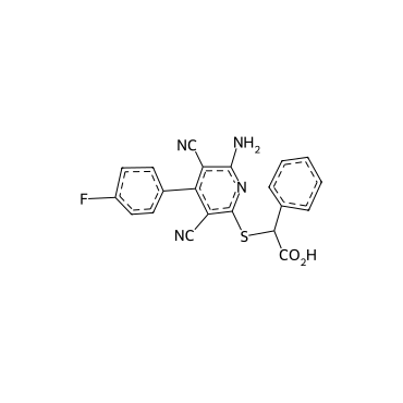 N#Cc1c(N)nc(SC(C(=O)O)c2ccccc2)c(C#N)c1-c1ccc(F)cc1